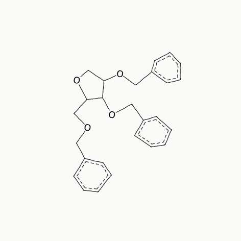 c1ccc(COCC2OCC(OCc3ccccc3)C2OCc2ccccc2)cc1